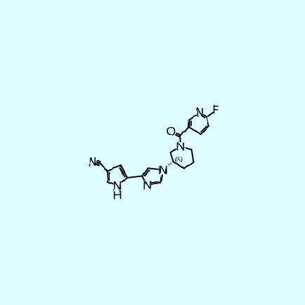 N#Cc1c[nH]c(-c2cn([C@H]3CCCN(C(=O)c4ccc(F)nc4)C3)cn2)c1